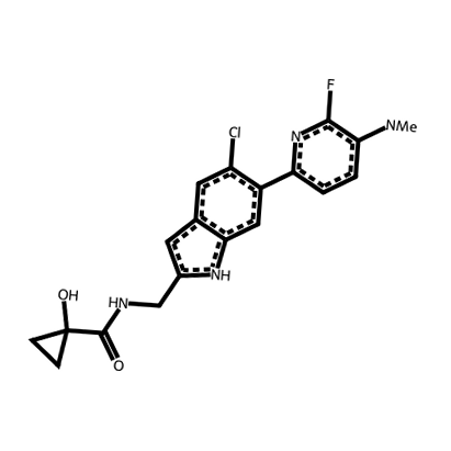 CNc1ccc(-c2cc3[nH]c(CNC(=O)C4(O)CC4)cc3cc2Cl)nc1F